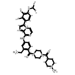 CCc1cc(Nc2nccn3c(-c4ccc(OC(F)F)c(F)c4F)cnc23)ccc1C(=O)N1CCN(C(=O)C2CCN(C)CC2)CC1